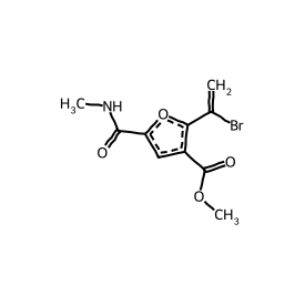 C=C(Br)c1oc(C(=O)NC)cc1C(=O)OC